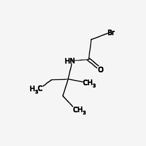 CCC(C)(CC)NC(=O)CBr